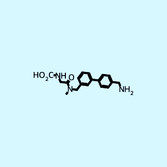 CN(Cc1cccc(-c2ccc(CN)cc2)c1)C(=O)CNC(=O)O